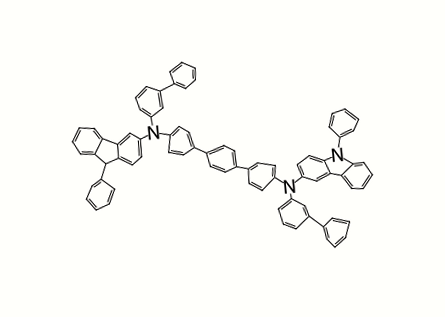 c1ccc(-c2cccc(N(c3ccc(-c4ccc(-c5ccc(N(c6cccc(-c7ccccc7)c6)c6ccc7c(c6)c6ccccc6n7-c6ccccc6)cc5)cc4)cc3)c3ccc4c(c3)-c3ccccc3C4c3ccccc3)c2)cc1